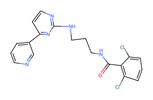 O=C(NCCCNc1nccc(-c2cccnc2)n1)c1c(Cl)cccc1Cl